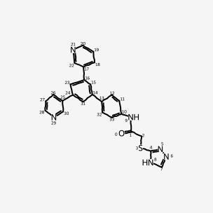 O=C(CSc1nnc[nH]1)Nc1ccc(-c2cc(-c3cccnc3)cc(-c3cccnc3)c2)cc1